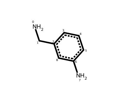 NCc1[c]ccc(N)c1